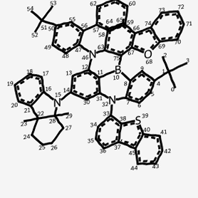 CC(C)(C)c1ccc2c(c1)B1c3c(cc(N4c5ccccc5C5(C)CCCCC45C)cc3N2c2cccc3c2sc2ccccc23)N(c2ccc(C(C)(C)C)cc2-c2ccccc2)c2ccc3c(oc4ccccc43)c21